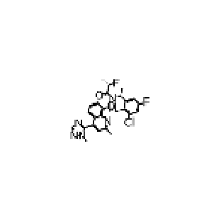 Cc1cc(-c2ncnn2C)c2cccc(OCc3c(Cl)cc(F)cc3[C@H](C)NC(=O)[C@H](C)F)c2n1